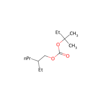 CCCC(CC)COC(=O)OC(C)(C)CC